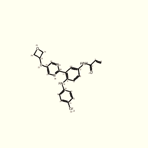 C=CC(=O)Nc1ccc(Nc2ccc(C(F)(F)F)cc2)c(-c2ncc(OC3COC3)cn2)c1